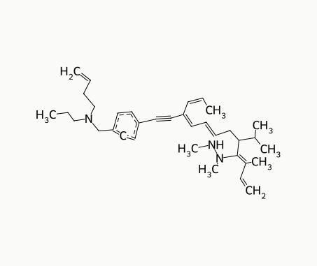 C=CCCN(CCC)Cc1ccc(C#CC(/C=C\C)=C/C=C/CC(/C(=C(\C)C=C)N(C)NC)C(C)C)cc1